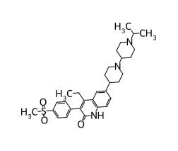 CCc1c(-c2ccc(S(C)(=O)=O)cc2)c(=O)[nH]c2ccc(C3CCN(C4CCN(C(C)C)CC4)CC3)cc12